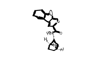 O=C(N[C@@H]1C[C@H]2CC[C@@H]1N2)c1cc2c(cn1)oc1ccccc12